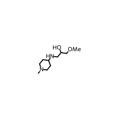 COCC(O)CNC1CCN(C)CC1